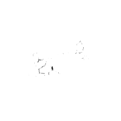 CCCc1nc2c(N)nc(C)cc2n1CCOCCCN1CCCS1(O)O